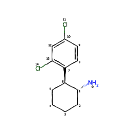 N[C@@H]1CCCC[C@H]1c1ccc(Cl)cc1Cl